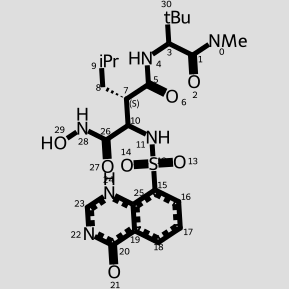 CNC(=O)C(NC(=O)[C@@H](CC(C)C)C(NS(=O)(=O)c1cccc2c(=O)nc[nH]c12)C(=O)NO)C(C)(C)C